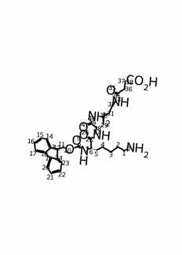 NCCCCC[C@H](NC(=O)OCC1c2ccccc2-c2ccccc21)C(=O)N[C@@H](CCCCNC(=O)CCC(=O)O)C(N)=O